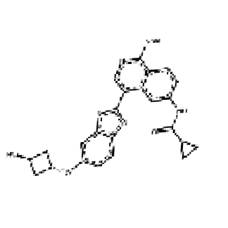 CNc1ncc(-c2nc3cc(O[C@H]4C[C@H](C#N)C4)ccc3o2)c2cc(NC(=O)C3CC3)ncc12